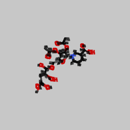 COC(=O)C[C@H](O)C(=O)OC[C@H]1O[C@@H]([n+]2cccc(C(=O)O)c2)[C@H](OC(C)=O)[C@@H]1OC(C)=O